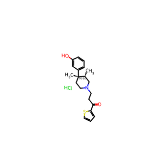 C[C@H]1CN(CCC(=O)c2cccs2)CC[C@]1(C)c1cccc(O)c1.Cl